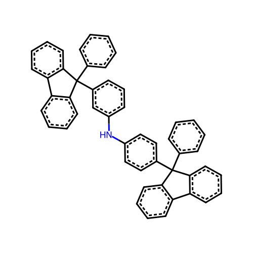 c1ccc(C2(c3ccc(Nc4cccc(C5(c6ccccc6)c6ccccc6-c6ccccc65)c4)cc3)c3ccccc3-c3ccccc32)cc1